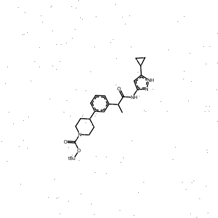 CC(C(=O)Nc1cc(C2CC2)[nH]n1)c1cccc(C2CCN(C(=O)OC(C)(C)C)CC2)c1